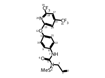 C=CCN(SC)C(=O)Nc1ccc(Oc2cc(C(F)(F)F)cc(C(F)(F)F)n2)cc1